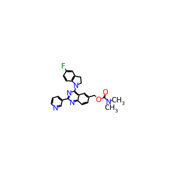 CN(C)C(=O)OCc1ccc2nc(-c3cccnc3)nc(N3CCc4cc(F)ccc43)c2c1